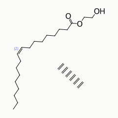 C=C.C=C.C=C.C=C.C=C.C=C.CCCCCCCC/C=C\CCCCCCCC(=O)OCCO